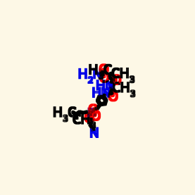 CC(C)=CCCP(=O)(OCCC#N)OCc1ccc(NC(=O)C(C)NC(=O)C(OC(N)=O)C(C)C)cc1